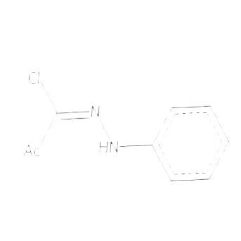 CC(=O)/C(Cl)=N\Nc1ccccc1